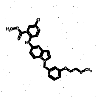 COCCOc1cccc(Cn2ccc3cc(Nc4ccc(Cl)cc4C(=O)OC)ccc32)c1